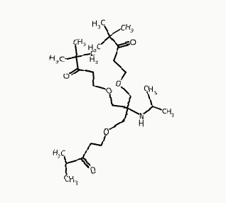 CC(C)NC(COCCC(=O)C(C)C)(COCCC(=O)C(C)(C)C)COCCC(=O)C(C)(C)C